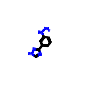 NNc1cccc(-c2nc[nH]n2)c1